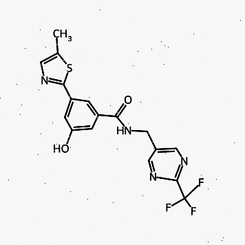 Cc1cnc(-c2cc(O)cc(C(=O)NCc3cnc(C(F)(F)F)nc3)c2)s1